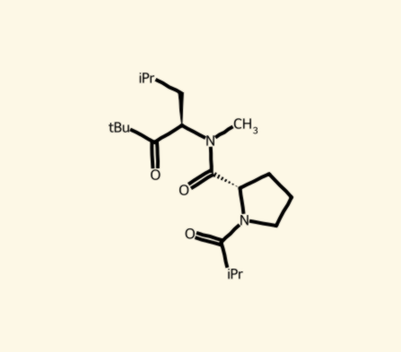 CC(C)C[C@H](C(=O)C(C)(C)C)N(C)C(=O)[C@@H]1CCCN1C(=O)C(C)C